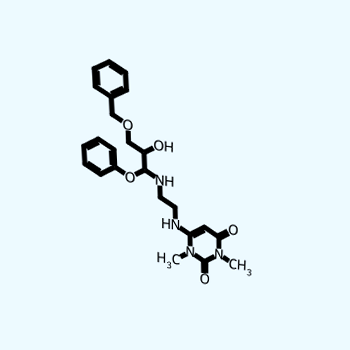 Cn1c(NCCNC(Oc2ccccc2)C(O)COCc2ccccc2)cc(=O)n(C)c1=O